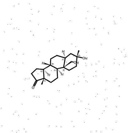 C[C@@]1(O)CC[C@@]2(CO)[C@@H](CC[C@@H]3[C@@H]2CC[C@]2(C)C(=O)CC[C@@H]32)C1